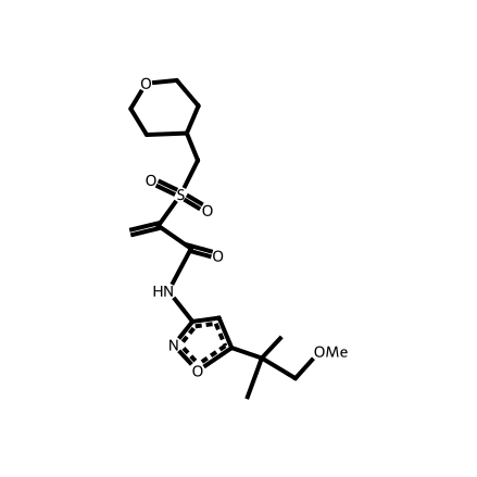 C=C(C(=O)Nc1cc(C(C)(C)COC)on1)S(=O)(=O)CC1CCOCC1